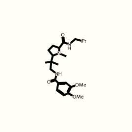 COc1ccc(C(=O)NCC(C)(C)C2CCC(C(=O)NCC(C)C)N2C)cc1OC